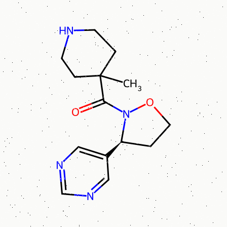 CC1(C(=O)N2OCC[C@H]2c2cncnc2)CCNCC1